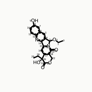 CCOC1c2cc3cc(O)ccc3nc2-c2cc3c(c(=O)n21)COC(=O)[C@]3(O)CC